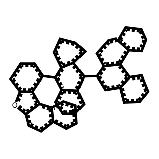 c1ccc2c(c1)ccc1c(-c3c4ccccc4c(-c4cccc5oc6ccc7ccccc7c6c45)c4ccccc34)cc3ccccc3c12